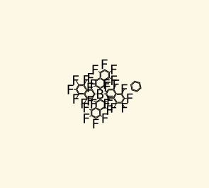 Fc1c(F)c(F)c2c(F)c([B-](c3c(F)c(F)c4c(F)c(F)c(F)c(F)c4c3F)(c3c(F)c(F)c4c(F)c(F)c(F)c(F)c4c3F)c3c(F)c(F)c4c(F)c(F)c(F)c(F)c4c3F)c(F)c(F)c2c1F.c1ccccc1